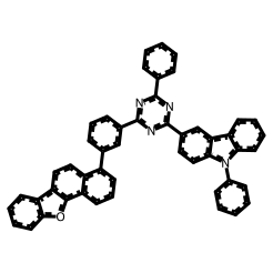 c1ccc(-c2nc(-c3cccc(-c4cccc5c4ccc4c6ccccc6oc54)c3)nc(-c3ccc4c(c3)c3ccccc3n4-c3ccccc3)n2)cc1